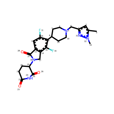 Cc1cc(CN2CCC(c3c(F)cc4c(c3F)CN(C3CCC(=O)NC3=O)C4=O)CC2)nn1C